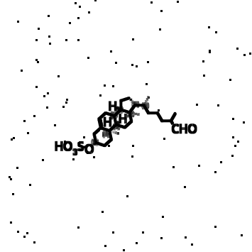 CC(C=O)CCC[C@@H](C)[C@H]1CC[C@H]2[C@@H]3CC=C4C[C@@H](OS(=O)(=O)O)CC[C@]4(C)[C@H]3CC[C@]12C